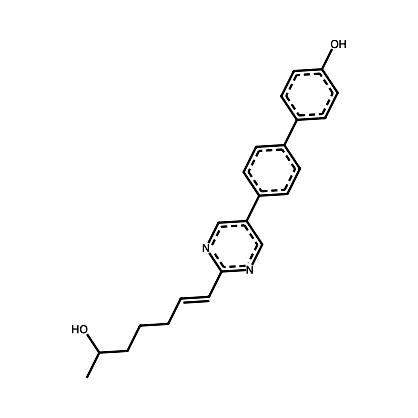 CC(O)CCC/C=C/c1ncc(-c2ccc(-c3ccc(O)cc3)cc2)cn1